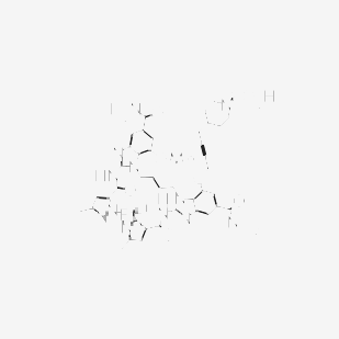 CCn1nc(C)cc1C(=O)Nc1nc2cc(C(N)=O)cc(OC)c2n1CC=CCn1c(NC(=O)c2cc(C)nn2CC)nc2cc(C(N)=O)cc(OCC#CCC3CCN(C(=O)O)CC3)c21